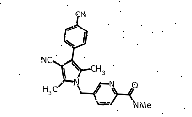 CNC(=O)c1ccc(Cn2c(C)c(C#N)c(-c3ccc(C#N)cc3)c2C)cn1